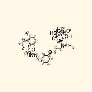 CC(C)c1cccc2c(S(=O)(=O)N/N=C/c3cccc(OCCCN(C)CCC(O)(P(=O)(O)O)P(=O)(O)O)c3)cccc12